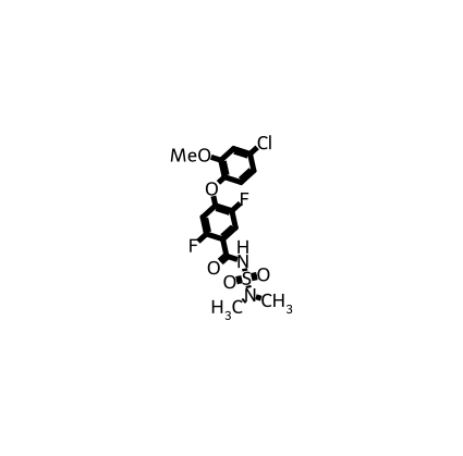 COc1cc(Cl)ccc1Oc1cc(F)c(C(=O)NS(=O)(=O)N(C)C)cc1F